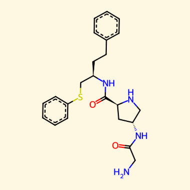 NCC(=O)N[C@H]1CN[C@H](C(=O)N[C@H](CCc2ccccc2)CSc2ccccc2)C1